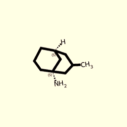 CC1C[C@@H]2CCC[C@](N)(C1)C2